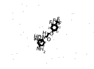 NC12CCC(NC(=O)COc3ccc(C(F)(F)F)c(F)c3)(CC1)[C@@H](O)C2